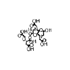 O=C(O)CN(CCN(CC(=O)O)CC(=O)O)CC(=O)O.O=C(O)COC(CC(=O)O)C(=O)O